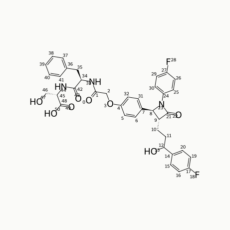 O=C(COc1ccc([C@@H]2[C@@H](CCC(O)c3ccc(F)cc3)C(=O)N2c2ccc(F)cc2)cc1)N[C@H](Cc1ccccc1)C(=O)N[C@@H](CO)C(=O)O